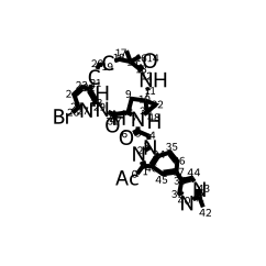 CC(=O)c1nn(CC(=O)N2[C@H]3C[C@@]4(CNC(=O)C(C)(C)CCCCc5ccc(Br)nc5NC3=O)C[C@@H]24)c2ccc(-c3cnc(C)nc3)cc12